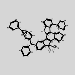 CC1(C)c2ccc(N(C3=CC4=C(c5ccccc5)[C@@H]4C=C3)c3ccccc3)cc2-c2c1c1ccccc1c1c2oc2cccc(-c3ccccc3)c21